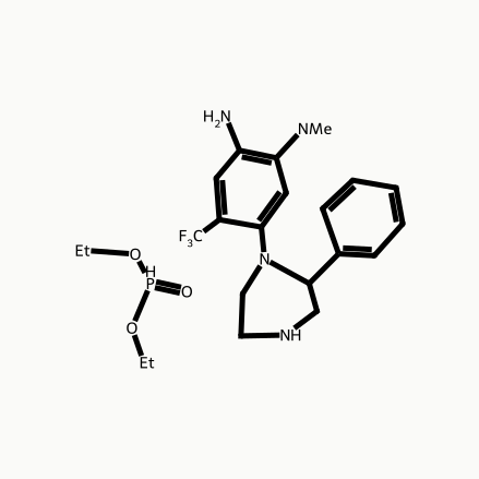 CCO[PH](=O)OCC.CNc1cc(N2CCNCC2c2ccccc2)c(C(F)(F)F)cc1N